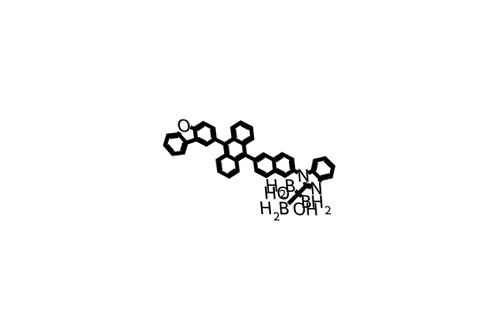 BC(O)(O)C(B)(B)c1nc2ccccc2n1-c1ccc2cc(-c3c4ccccc4c(-c4ccc5oc6ccccc6c5c4)c4ccccc34)ccc2c1